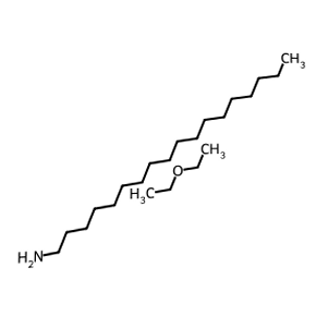 CCCCCCCCCCCCCCCCCCN.CCOCC